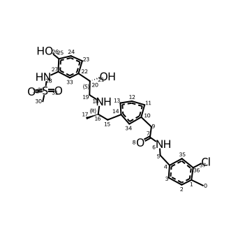 Cc1ccc(CNC(=O)Cc2cccc(C[C@@H](C)NC[C@@H](O)c3ccc(O)c(NS(C)(=O)=O)c3)c2)cc1Cl